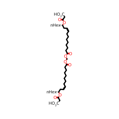 CCCCCC[C@@H](C/C=C\CCCCCCCC(=O)OCOC(=O)CCCCCCC/C=C\C[C@@H](CCCCCC)OC(=O)CC(=O)O)OC(=O)CC(=O)O